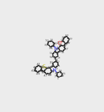 c1ccc(-n2c3ccc(-c4ccc5c(c4)c4ccc6c7ccccc7oc6c4n5-c4ccccc4)cc3c3c4sc5ccccc5c4ccc32)cc1